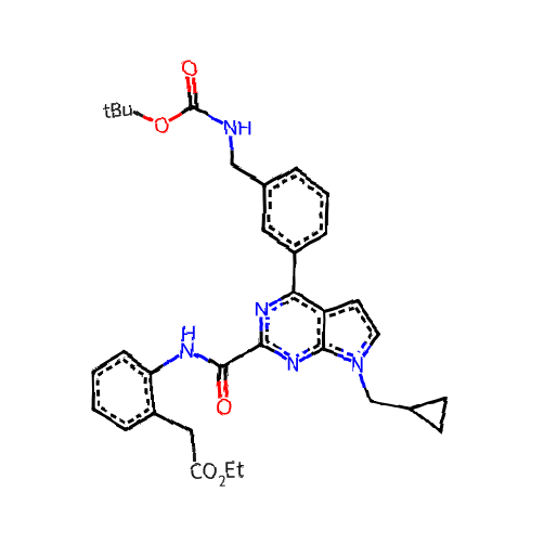 CCOC(=O)Cc1ccccc1NC(=O)c1nc(-c2cccc(CNC(=O)OC(C)(C)C)c2)c2ccn(CC3CC3)c2n1